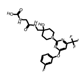 O=C(O)NCC(=O)NCC1(O)CCN(c2nc(Oc3cccc(F)c3)cc(C(F)(F)F)n2)CC1